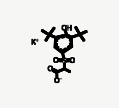 CC(C(=O)[O-])S(=O)(=O)c1cc(C(C)(C)C)c(O)c(C(C)(C)C)c1.[K+]